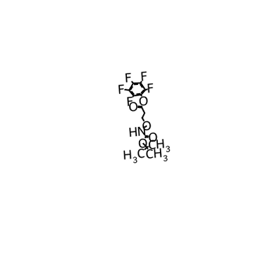 CC(C)(C)OC(=O)NOCCC(=O)Oc1c(F)c(F)c(F)c(F)c1F